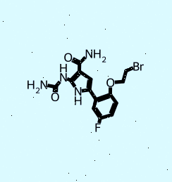 NC(=O)Nc1[nH]c(-c2cc(F)ccc2OCCBr)cc1C(N)=O